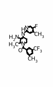 Cc1cc(C(=O)N2CCC(Nc3cc(C)c(F)cn3)=C(N)C2C)cc(C(F)(F)F)c1